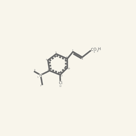 CN(C)c1ccc(/C=C/C(=O)O)cc1Cl